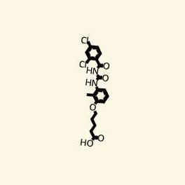 Cc1c(NC(=O)NC(=O)c2ccc(Cl)cc2Cl)cccc1OCCCCC(=O)O